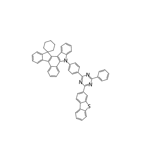 c1ccc(-c2nc(-c3ccc(-n4c5ccccc5c5c6c(c7ccccc7c54)-c4ccccc4C64CCCCC4)cc3)nc(-c3ccc4c(c3)sc3ccccc34)n2)cc1